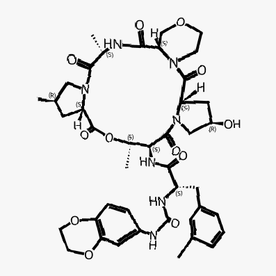 Cc1cccc(C[C@H](NC(=O)Nc2ccc3c(c2)OCCO3)C(=O)N[C@@H]2C(=O)N3C[C@H](O)C[C@H]3C(=O)N3CCOC[C@H]3C(=O)N[C@@H](C)C(=O)N3C[C@H](C)C[C@H]3C(=O)O[C@H]2C)c1